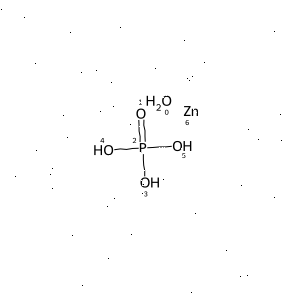 O.O=P(O)(O)O.[Zn]